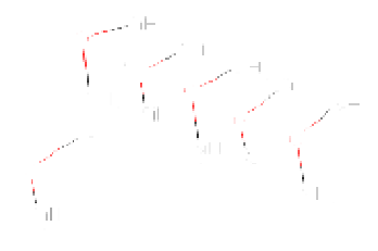 [SiH3]O[SiH3].[SiH3]O[SiH3].[SiH3]O[SiH3].[SiH3]O[SiH3].[SiH3]O[SiH3].[SiH3]O[SiH3]